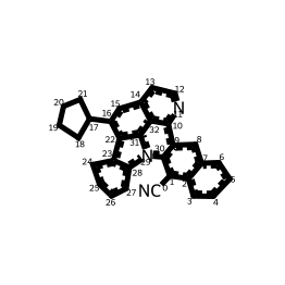 N#Cc1c2ccccc2cc2c3nccc4cc(C5CCCC5)c5c6ccccc6n(c12)c5c43